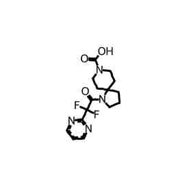 O=C(O)N1CCC2(CCCN2C(=O)C(F)(F)c2ncccn2)CC1